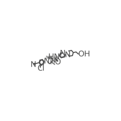 C[C@@H]1CN(C(=O)Nc2ccc(N3CCC(CCO)CC3)nc2)[C@@H](C)CN1c1ccc(C#N)c(Cl)c1